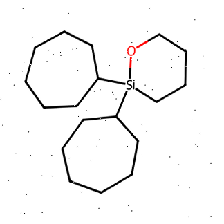 C1CCCC([Si]2(C3CCCCCC3)CCCCO2)CC1